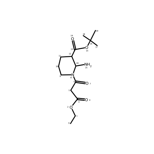 CCOC(=O)CC(=O)N1CCCC(C(=O)OC(C)(C)C)C1N